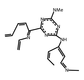 C=C/C=C\C(=N/C=C)c1nc(NC)nc(NC(/C=C\C)=C/C=N\C)n1